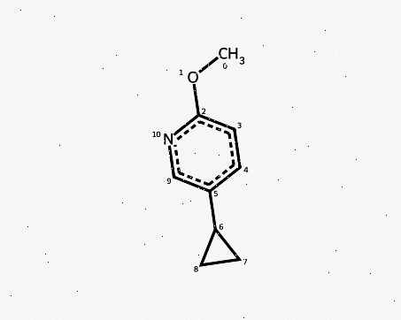 COc1ccc(C2CC2)cn1